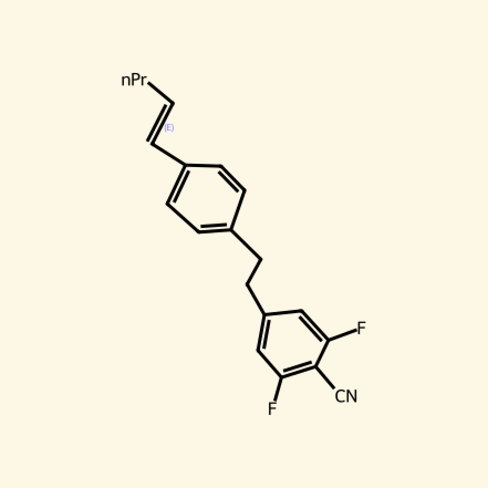 CCC/C=C/c1ccc(CCc2cc(F)c(C#N)c(F)c2)cc1